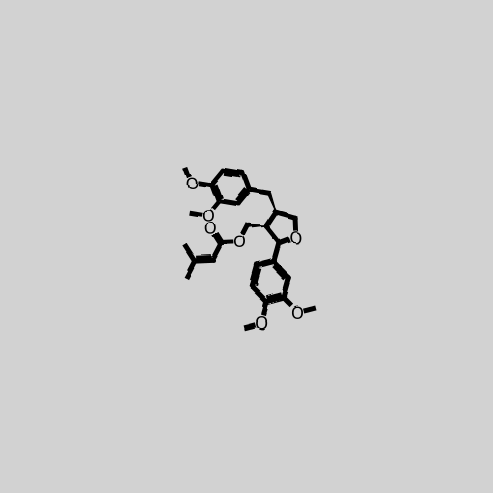 COc1ccc(C[C@H]2COC(c3ccc(OC)c(OC)c3)[C@H]2COC(=O)C=C(C)C)cc1OC